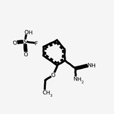 CCOc1ccccc1C(=N)N.O=S(=O)(O)F